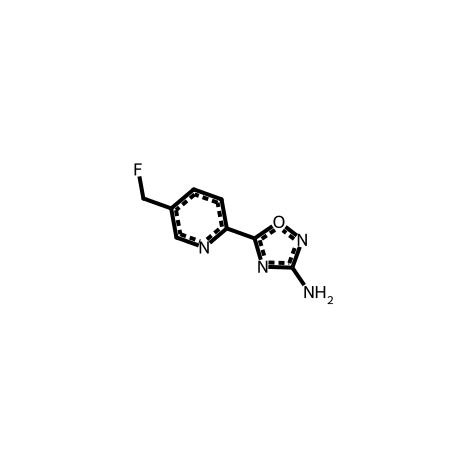 Nc1noc(-c2ccc(CF)cn2)n1